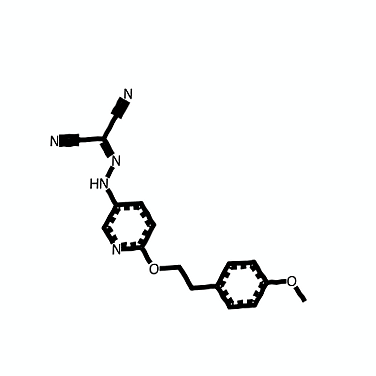 COc1ccc(CCOc2ccc(NN=C(C#N)C#N)cn2)cc1